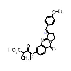 CCOc1ccc(/C=C2\CCn3c2nc2cc(NC(=O)C(C)C(=O)O)ccc2c3=O)cc1